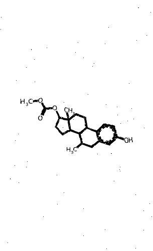 COC(=O)OC1CCC2C3C(C)Cc4cc(O)ccc4C3CCC12C